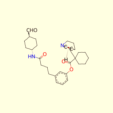 O=C[C@H]1CC[C@H](NC(=O)CCCc2cccc(OC(=O)C3([C@@H]4CN5CCC4CC5)CCCCC3)c2)CC1